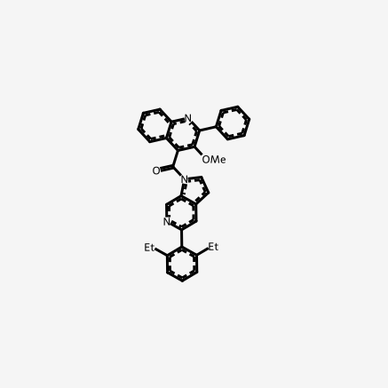 CCc1cccc(CC)c1-c1cc2ccn(C(=O)c3c(OC)c(-c4ccccc4)nc4ccccc34)c2cn1